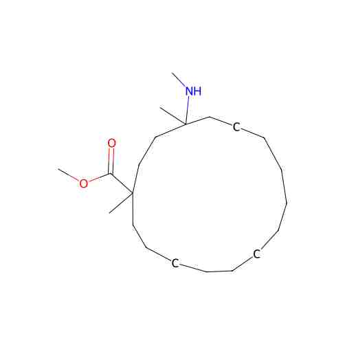 CNC1(C)CCCCCCCCCCCCC(C)(C(=O)OC)CC1